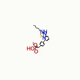 CCCCCNC(=S)N(C)c1cccc(-c2ccc(C[C@H](OCC)C(=O)O)cc2)n1